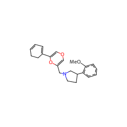 COc1ccccc1C1CCN(CC2=COC=C(C3=CC=CCC3)O2)C1